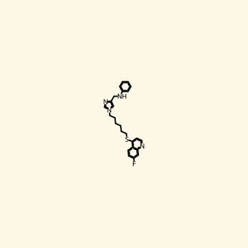 Fc1ccc2c(SCCCCCCn3cnc(CNc4ccccc4)c3)ccnc2c1